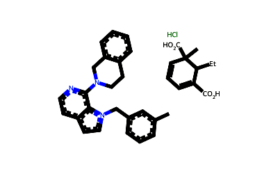 CCC1C(C(=O)O)=CC=CC1(C)C(=O)O.Cc1cccc(Cn2ccc3ccnc(N4CCc5ccccc5C4)c32)c1.Cl